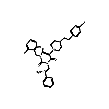 Cc1c(N2CCN(CCc3ccc(F)cc3)CC2)c(=O)n(C[C@H](N)c2ccccc2)c(=O)n1Cc1c(F)cccc1F